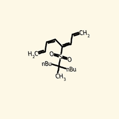 C=C/C=C\C(=C/C=C)S(=O)(=O)C(C)(CCCC)CCCC